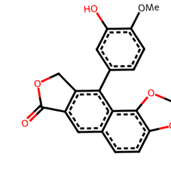 COc1ccc(-c2c3c(cc4ccc5c(c24)OCO5)C(=O)OC3)cc1O